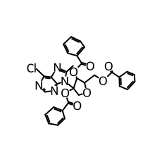 Cc1nc2c(Cl)ncnc2n1C1(OC(=O)c2ccccc2)COC(COC(=O)c2ccccc2)C1OC(=O)c1ccccc1